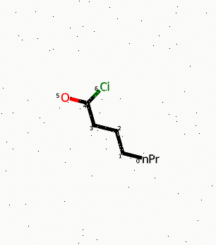 CCCCCCC([O])Cl